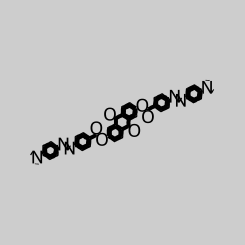 CN(C)c1ccc(N=Nc2ccc(C(=O)Oc3ccc4c(c3)C(=O)c3ccc(OC(=O)c5ccc(N=Nc6ccc(N(C)C)cc6)cc5)cc3C4=O)cc2)cc1